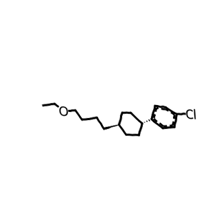 CCOCCCC[C@H]1CC[C@H](c2ccc(Cl)cc2)CC1